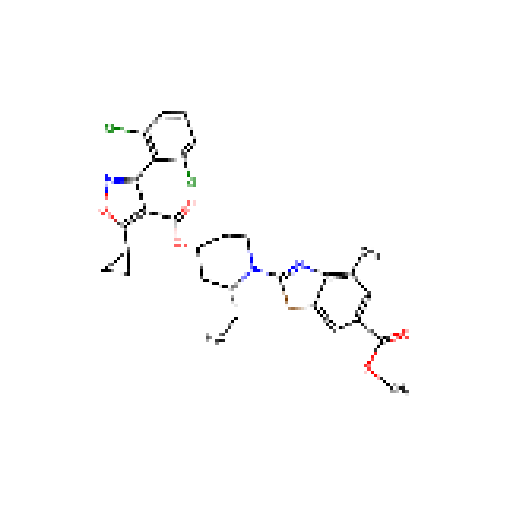 CC[C@@H]1C[C@H](OC(=O)c2c(-c3c(Cl)cccc3Cl)noc2C2CC2)CCN1c1nc2c(C)cc(C(=O)OC)cc2s1